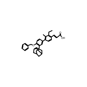 CCc1c(C=CC(=O)O)ccc(-c2ccc(OCc3ccccc3)c(C34CC5CC(CC(C5)C3)C4)c2)c1C